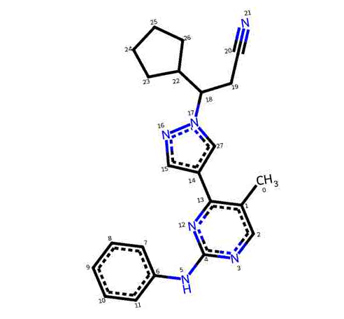 Cc1cnc(Nc2ccccc2)nc1-c1cnn(C(CC#N)C2CCCC2)c1